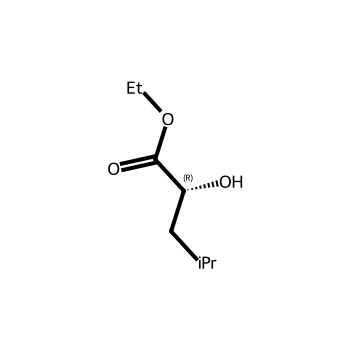 CCOC(=O)[C@H](O)CC(C)C